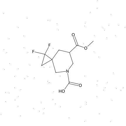 COC(=O)C1CN(C(=O)O)CC2(C1)CC2(F)F